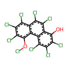 Oc1c(Cl)c(Cl)c(Cl)c2c1c(Cl)c(Cl)c1c(Cl)c(Cl)c(Cl)c(OCl)c12